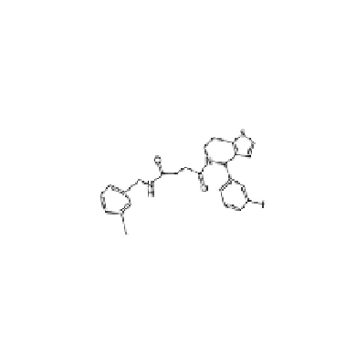 Cc1cccc(CNC(=O)CCC(=O)N2CCc3sccc3C2c2cccc(F)c2)c1